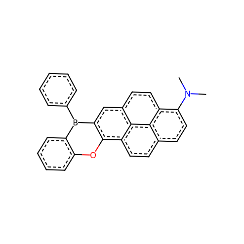 CN(C)c1ccc2ccc3c4c(cc5ccc1c2c53)B(c1ccccc1)c1ccccc1O4